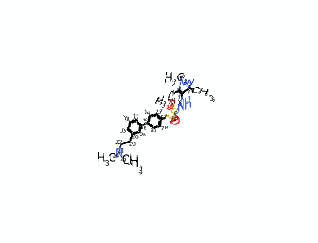 Cc1nn(C)c(C)c1NS(=O)(=O)c1ccc(-c2cccc(CCN(C)C)c2)cc1